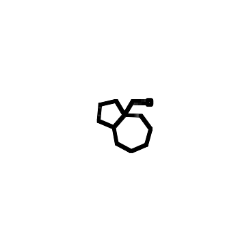 O=CC12CCCCCC1CCC2